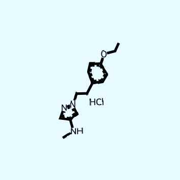 CCOc1ccc(CCn2cc(NC)cn2)cc1.Cl